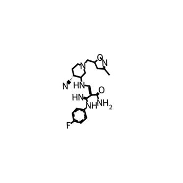 CC1=NOC(CN2CC[C@@H](C#N)C(N/C=C(\C(=N)Nc3ccc(F)cc3)C(N)=O)C2)C1